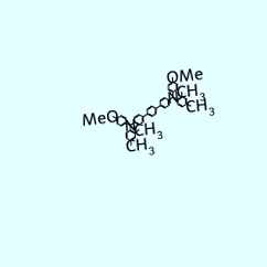 COc1ccc(N(c2ccc(-c3ccc(-c4ccc(N(c5ccc(OC)cc5)c5ccc(C)cc5C)cc4)cc3)cc2)c2ccc(C)cc2C)cc1